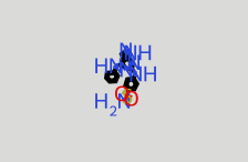 NS(=O)(=O)c1ccc(Nc2nc(Nc3ccccc3)c3cn[nH]c3n2)cc1